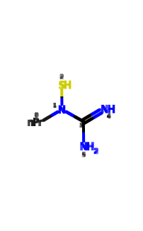 CCCN(S)C(=N)N